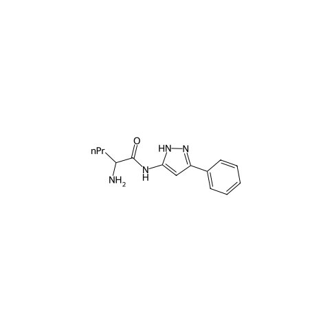 CCCC(N)C(=O)Nc1cc(-c2ccccc2)n[nH]1